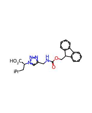 CC(C)C[C@@H](C(=O)O)n1cc(CNC(=O)OCC2c3ccccc3-c3ccccc32)nn1